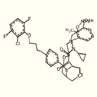 COc1nccc(CN(C(=O)C2=C(c3ccc(CCCOc4c(F)ccc(F)c4Cl)cc3)CC3COCC2N3C(=O)OCCOCCO[N+](=O)[O-])C2CC2)c1C